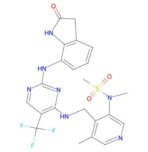 Cc1cncc(N(C)S(C)(=O)=O)c1CNc1nc(Nc2cccc3c2NC(=O)C3)ncc1C(F)(F)F